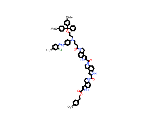 COc1ccc(C(OCCCN(CCCC(=O)N2CCc3c2ccc2[nH]c(C(=O)N4CCc5c4ccc4[nH]c(C(=O)N6CCc7c6ccc6[nH]c(C(=O)OCCc8ccc([N+](=O)[O-])cc8)cc76)cc54)cc32)c2ccc(N=Nc3ccc([N+](=O)[O-])cc3Cl)cc2)(c2ccccc2)c2ccc(OC)cc2)cc1